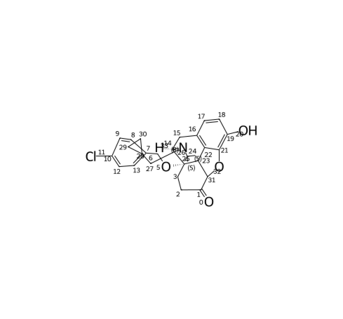 O=C1CC[C@@]2(OCc3ccc(Cl)cc3)[C@H]3Cc4ccc(O)c5c4[C@@]2(CCN3CC2CC2)C1O5